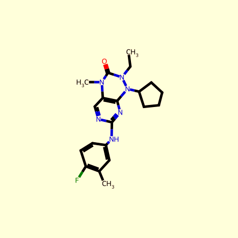 CCN1C(=O)N(C)c2cnc(Nc3ccc(F)c(C)c3)nc2N1C1CCCC1